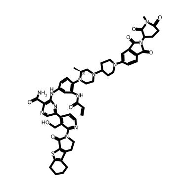 C=CC(=O)Nc1cc(Nc2nc(-c3ccnc(N4CCc5c(sc6c5CCCC6)C4=O)c3CO)cnc2C(N)=O)ccc1N1CCN(C2CCN(c3ccc4c(c3)C(=O)N(C3CCC(=O)N(C)C3=O)C4=O)CC2)C[C@@H]1C